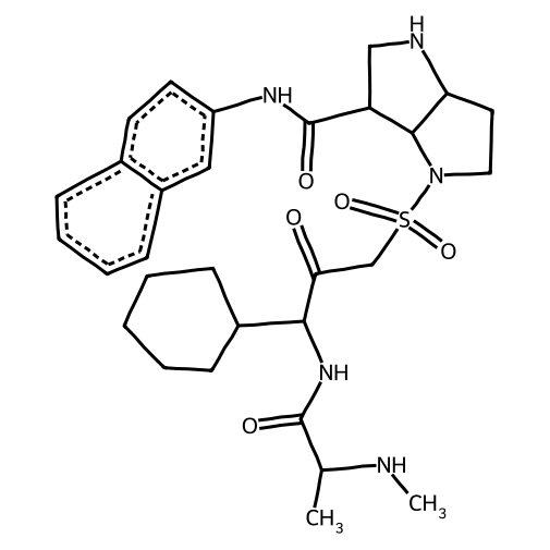 CNC(C)C(=O)NC(C(=O)CS(=O)(=O)N1CCC2NCC(C(=O)Nc3ccc4ccccc4c3)C21)C1CCCCC1